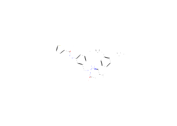 CCC1CC(=O)N(Cc2cccc(NC(=O)c3cccs3)c2)N=C1c1ccc(OC)c(OC)c1